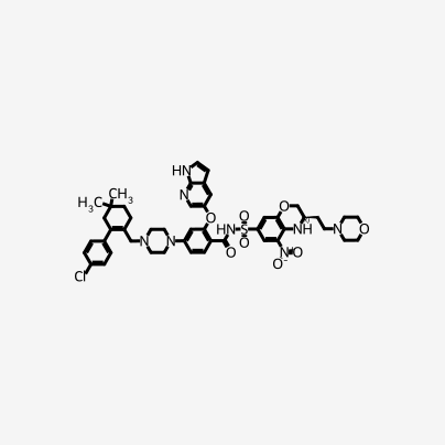 CC1(C)CCC(CN2CCN(c3ccc(C(=O)NS(=O)(=O)c4cc5c(c([N+](=O)[O-])c4)N[C@H](CCN4CCOCC4)CO5)c(Oc4cnc5[nH]ccc5c4)c3)CC2)=C(c2ccc(Cl)cc2)C1